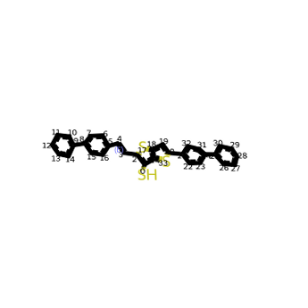 Sc1c(/C=C/c2ccc(-c3ccccc3)cc2)sc2cc(-c3ccc(-c4ccccc4)cc3)sc12